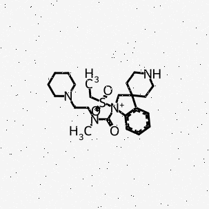 CCS(=O)(=O)[N+]1(C(=O)N(C)CCN2CCCCC2)CC2(CCNCC2)c2ccccc21